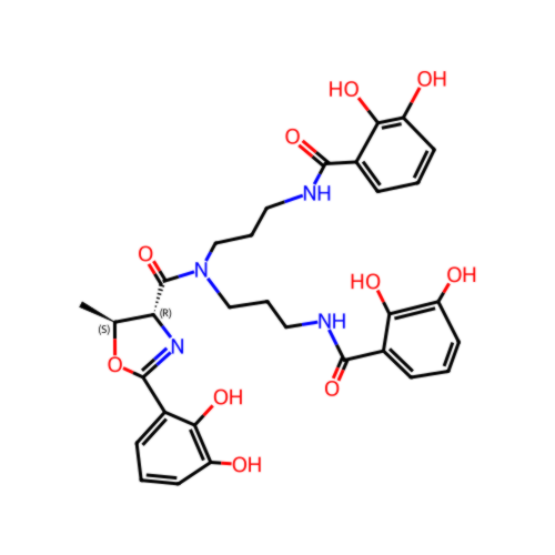 C[C@@H]1OC(c2cccc(O)c2O)=N[C@H]1C(=O)N(CCCNC(=O)c1cccc(O)c1O)CCCNC(=O)c1cccc(O)c1O